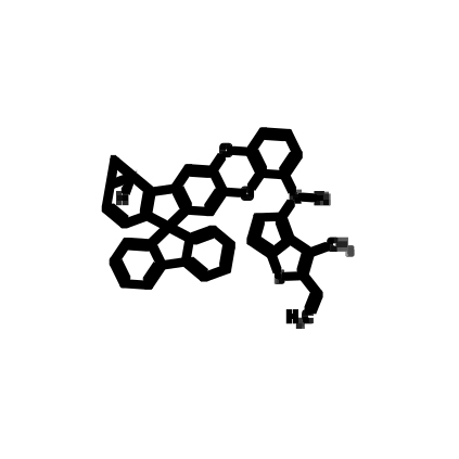 C=Cc1sc2c(c1C)=C(N(CC)c1cccc3c1Oc1cc4c(cc1O3)C1=C(C=CC3C[C@H]13)C41c3ccccc3-c3ccccc31)C=C=2